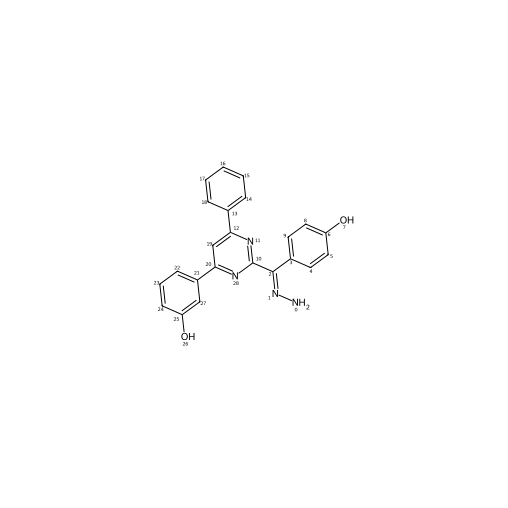 N/N=C(\c1ccc(O)cc1)c1nc(-c2ccccc2)cc(-c2cccc(O)c2)n1